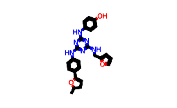 CC1CC=C(c2ccc(Nc3nc(NCc4ccco4)nc(Nc4ccc(O)cc4)n3)cc2)O1